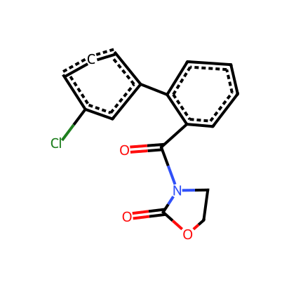 O=C1OCCN1C(=O)c1ccccc1-c1cccc(Cl)c1